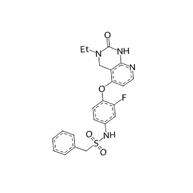 CCN1Cc2c(Oc3ccc(NS(=O)(=O)Cc4ccccc4)cc3F)ccnc2NC1=O